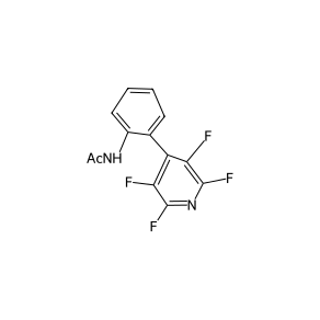 CC(=O)Nc1ccccc1-c1c(F)c(F)nc(F)c1F